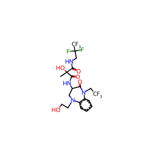 CC(O)(C(=O)NCC(F)(F)C(F)(F)F)C(=O)NC1CN(CCO)c2ccccc2N(CC(F)(F)F)C1=O